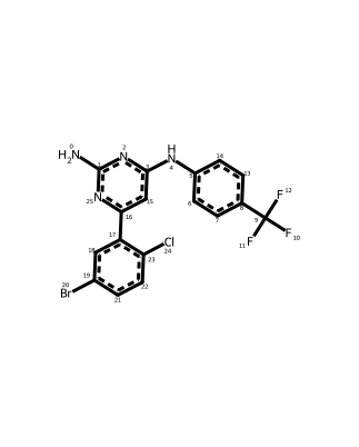 Nc1nc(Nc2ccc(C(F)(F)F)cc2)cc(-c2cc(Br)ccc2Cl)n1